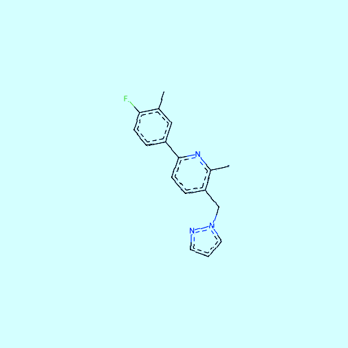 Cc1cc(-c2ccc(Cn3cccn3)c(C)n2)ccc1F